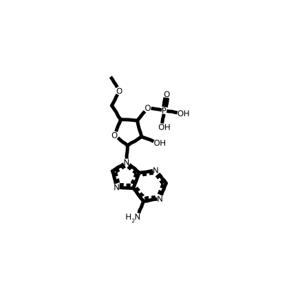 COCC1OC(n2cnc3c(N)ncnc32)C(O)C1OP(=O)(O)O